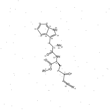 CC(C)OC(=O)[C@H](CCC(=O)C=[N+]=[N-])NC(=O)[C@@H](N)Cc1c[nH]c2ccccc12